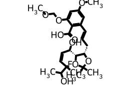 COCOc1cc(OC)cc(/C=C/C[C@@H]2OC(C)(C)O[C@@H]2C(O)/C=C\C(C)(F)C(C)O)c1C(=O)O